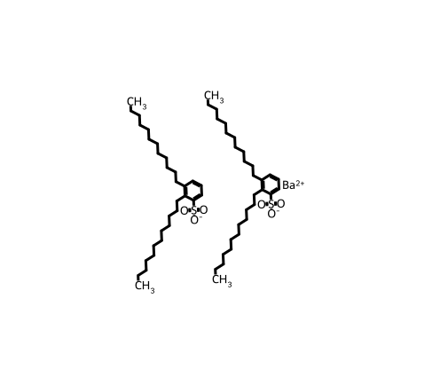 CCCCCCCCCCCCc1cccc(S(=O)(=O)[O-])c1CCCCCCCCCCCC.CCCCCCCCCCCCc1cccc(S(=O)(=O)[O-])c1CCCCCCCCCCCC.[Ba+2]